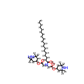 CCCCCCCCCCCCCCCCCCC(=O)N(CC(=O)OC1CC(C)(C)NC(C)(C)C1)CC(=O)OC1CC(C)(C)NC(C)(C)C1